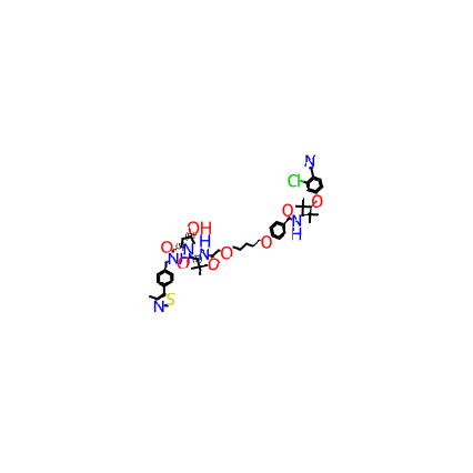 Cc1ncsc1-c1ccc(CNC(=O)[C@@H]2C[C@@H](O)CN2C(=O)[C@@H](NC(=O)COCCCCCOc2ccc(C(=O)N[C@H]3C(C)(C)[C@H](Oc4ccc(C#N)c(Cl)c4)C3(C)C)cc2)C(C)(C)C)cc1